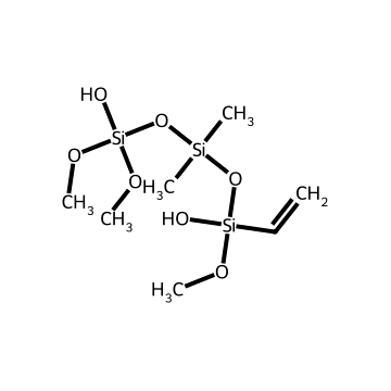 C=C[Si](O)(OC)O[Si](C)(C)O[Si](O)(OC)OC